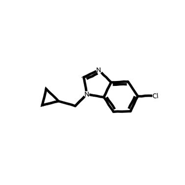 Clc1ccc2c(c1)n[c]n2CC1CC1